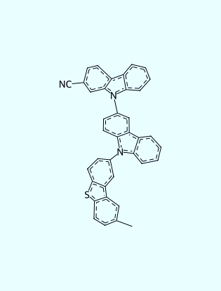 Cc1ccc2sc3ccc(-n4c5ccccc5c5cc(-n6c7ccccc7c7ccc(C#N)cc76)ccc54)cc3c2c1